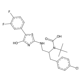 CC(C)(C)N(C(=O)O)C(CNc1nc(O)c(-c2ccc(F)c(F)c2)s1)Cc1ccc(Cl)cc1